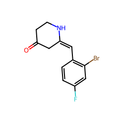 O=C1CCNC(=Cc2ccc(F)cc2Br)C1